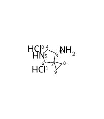 Cl.Cl.N[C@H]1CNCC12CC2